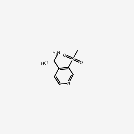 CS(=O)(=O)c1cnccc1CN.Cl